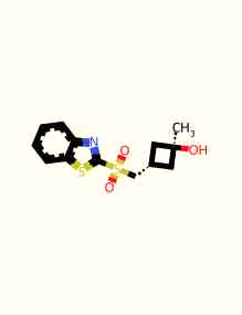 C[C@]1(O)C[C@H](CS(=O)(=O)c2nc3ccccc3s2)C1